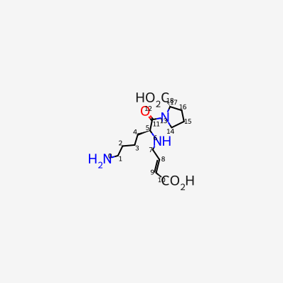 NCCCC[C@H](NCC=CC(=O)O)C(=O)N1CCC[C@H]1C(=O)O